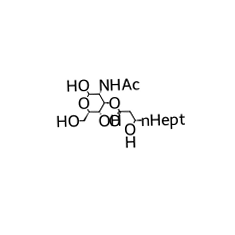 CCCCCCC[C@@H](O)CC(=O)O[C@H]1[C@H](O)[C@@H](CO)OC(O)[C@@H]1NC(C)=O